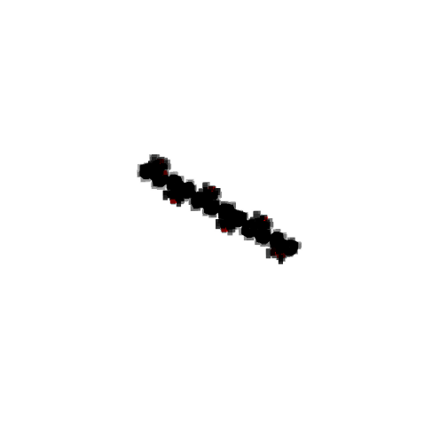 FC(F)(F)C1(C(F)(F)F)c2ccccc2-c2ccc(-c3ccc4c(c3)C(C(F)(F)F)(C(F)(F)F)c3cc(-c5ccc6c(c5)C(C(F)(F)F)(C(F)(F)F)c5cc(-c7ccc8c(c7)C(C(F)(F)F)(C(F)(F)F)c7cc(-c9ccc%10c(c9)C(C(F)(F)F)(C(F)(F)F)c9cc(-c%11ccc%12c(c%11)C(C(F)(F)F)(C(F)(F)F)c%11ccccc%11-%12)ccc9-%10)ccc7-8)ccc5-6)ccc3-4)cc21